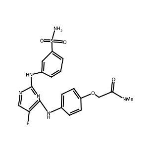 CNC(=O)COc1ccc(Nc2nc(Nc3cccc(S(N)(=O)=O)c3)ncc2F)cc1